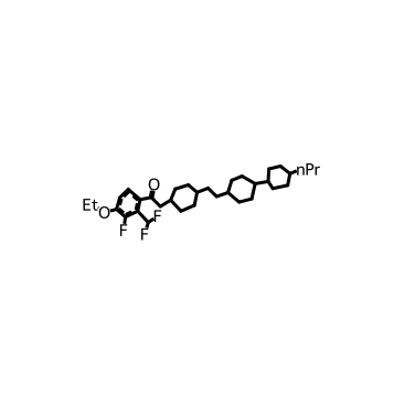 CCCC1CCC(C2CCC(CCC3CCC(CC(=O)c4ccc(OCC)c(F)c4C(F)F)CC3)CC2)CC1